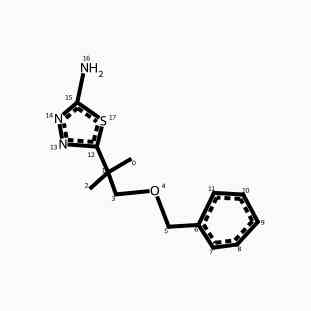 CC(C)(COCc1ccccc1)c1nnc(N)s1